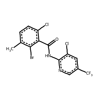 Cc1ccc(Cl)c(C(=O)Nc2ncc(C(F)(F)F)cc2Cl)c1Br